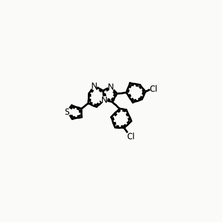 Clc1ccc(-c2nc3ncc(-c4ccsc4)cn3c2-c2ccc(Cl)cc2)cc1